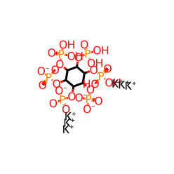 O=P([O-])([O-])OC1C(OP(=O)([O-])[O-])C(OP(=O)(O)O)C(OP(=O)(O)O)C(OP(=O)(O)O)C1OP(=O)([O-])[O-].[K+].[K+].[K+].[K+].[K+].[K+]